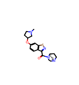 CN1CCC(Oc2ccc3c(C(=O)N4CCN5CCC4CC5)nsc3c2)C1